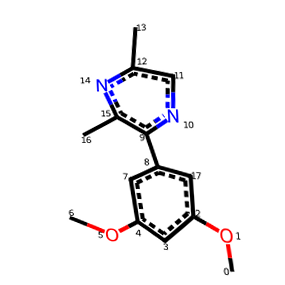 COc1cc(OC)cc(-c2ncc(C)nc2C)c1